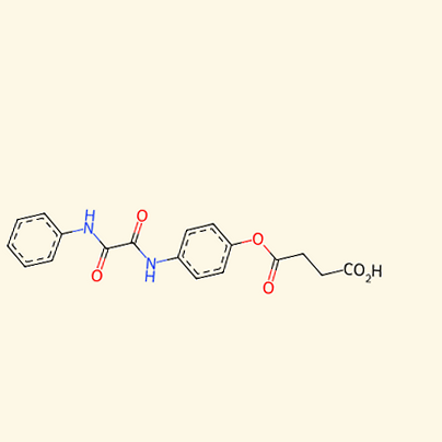 O=C(O)CCC(=O)Oc1ccc(NC(=O)C(=O)Nc2ccccc2)cc1